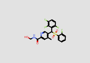 Cc1cc(C(=O)NCO)ncc1C(c1c(F)ccc(F)c1F)S(=O)(=O)c1ccccc1F